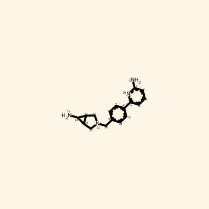 Nc1cccc(-c2ccc(CN3CC4C(N)C4C3)cc2)n1